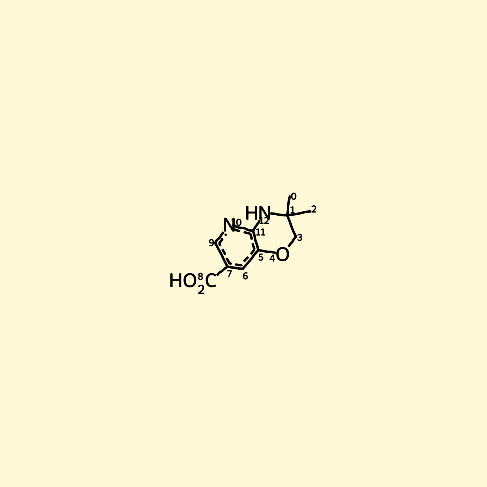 CC1(C)COc2cc(C(=O)O)cnc2N1